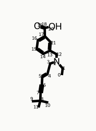 CCN(CC=CC#CC(C)(C)C)Cc1cccc(C(=O)O)c1